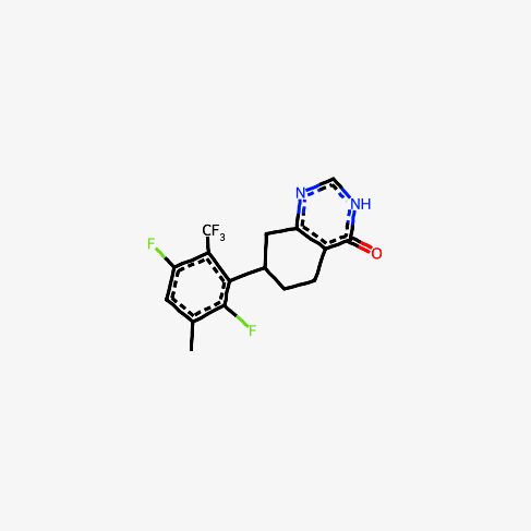 Cc1cc(F)c(C(F)(F)F)c(C2CCc3c(nc[nH]c3=O)C2)c1F